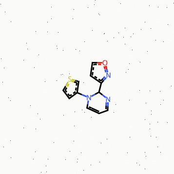 C1=CN(c2ccsc2)C(c2ccon2)N=C1